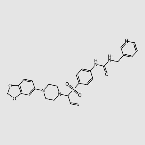 C=CC(N1CCN(c2ccc3c(c2)OCO3)CC1)S(=O)(=O)c1ccc(NC(=O)NCc2cccnc2)cc1